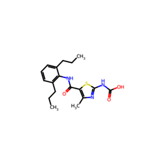 CCCc1cccc(CCC)c1NC(=O)c1sc(NC(=O)O)nc1C